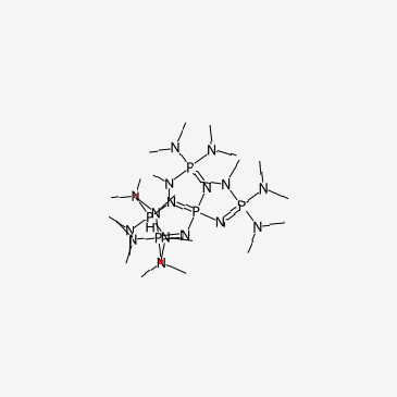 CN(C)P(=NP(=N[PH](N(C)C)(N(C)C)N(C)C)(N=P(N(C)C)(N(C)C)N(C)C)N=P(N(C)C)(N(C)C)N(C)C)(N(C)C)N(C)C